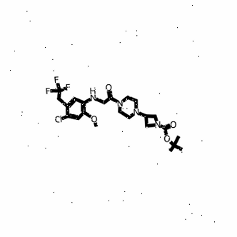 COc1cc(Cl)c(CC(F)(F)F)cc1NCC(=O)N1CCN(C2CN(C(=O)OC(C)(C)C)C2)CC1